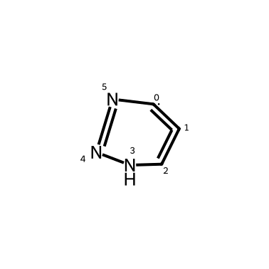 [C]1=C=CNN=N1